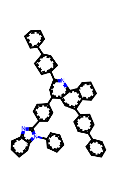 c1ccc(-c2ccc(-c3cc(-c4ccc(-c5nc6ccccc6n5-c5ccccc5)cc4)c4cc(-c5ccc(-c6ccccc6)cc5)c5ccccc5c4n3)cc2)cc1